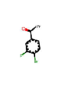 CC(C)C(=O)c1ccc(Br)c(F)c1